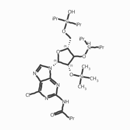 CC(C)C(=O)Nc1nc(Cl)c2ncn([C@@H]3O[C@H](CO[Si](O)(C(C)C)C(C)C)C(O[SiH](C(C)C)C(C)C)[C@@H]3O[Si](C)(C)C)c2n1